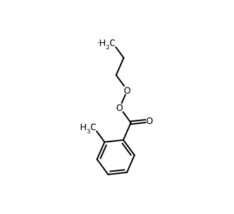 [CH2]CCOOC(=O)c1ccccc1C